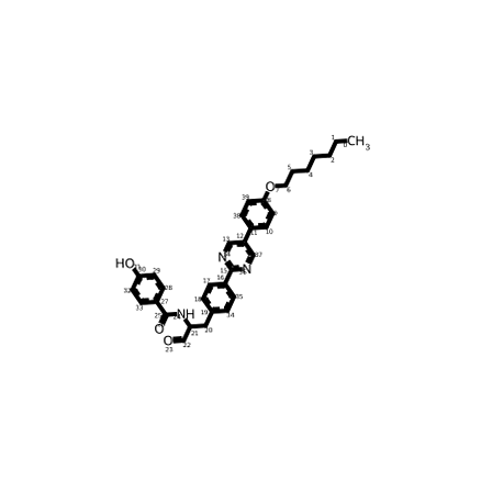 CCCCCCCOc1ccc(-c2cnc(-c3ccc(CC(C=O)NC(=O)c4ccc(O)cc4)cc3)nc2)cc1